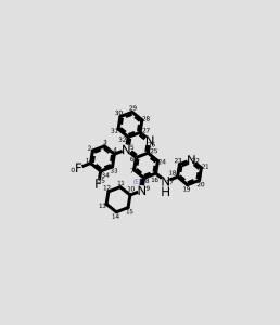 Fc1ccc(-n2c3c/c(=N\C4CCCCC4)c(Nc4cccnc4)cc-3nc3ccccc32)cc1F